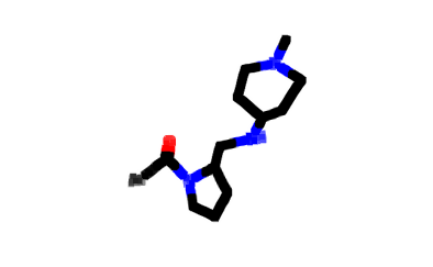 CC(=O)C(=O)N1CCCC1CNC1CCN(C)CC1